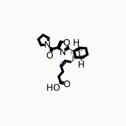 O=C(O)CC/C=C\C[C@@H]1[C@H](c2nc(C(=O)N3CCCC3)co2)[C@H]2CC[C@@H]1O2